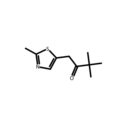 Cc1ncc(CC(=O)C(C)(C)C)s1